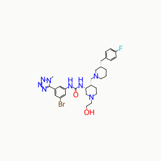 Cn1nnnc1-c1cc(Br)cc(NC(=O)N[C@H]2CN(CCO)CC[C@H]2CN2CCC[C@@H](Cc3ccc(F)cc3)C2)c1